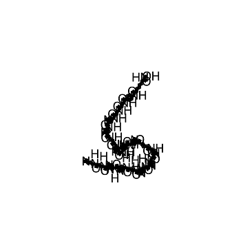 CN(C)CCCNC(=O)CCNC(=O)c1nc(NC(=O)c2cc(NC(=O)CCNC(=O)c3nc(NC(=O)c4nc(NC(=O)c5nc(NC(=O)CCCNC(=O)c6cc(NC(=O)c7cc(NC(=O)c8cc(NC(=O)CCNC(=O)c9cc(NC(=O)c%10cc(NC(=O)CCNC(=O)CCNC(=O)c%11ccc(NC(=O)CCCCCCC(=O)NO)cc%11)cn%10C)cn9C)cn8C)cn7C)cn6C)cn5C)cn4C)cn3C)cn2C)cn1C